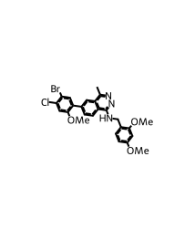 COc1ccc(CNc2nnc(C)c3cc(-c4cc(Br)c(Cl)cc4OC)ccc23)c(OC)c1